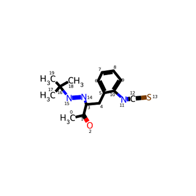 CC(=O)C(Cc1ccccc1N=C=S)/N=N/C(C)(C)C